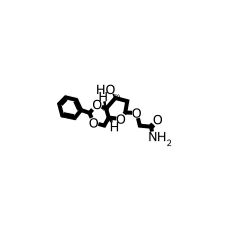 NC(=O)COC1C[C@@H](O)[C@H]2OC(c3ccccc3)OC[C@H]2O1